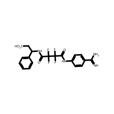 N=C(N)c1ccc(NC(=O)C(F)(F)C(F)(F)C(=O)NC(CC(=O)O)c2ccccc2)cc1